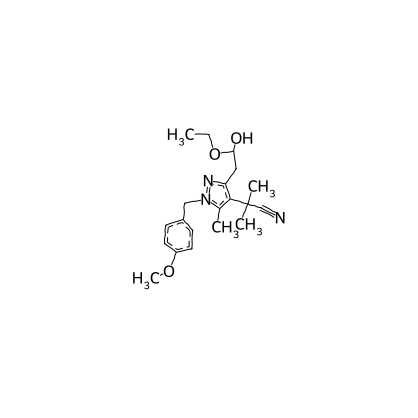 CCOC(O)Cc1nn(Cc2ccc(OC)cc2)c(C)c1C(C)(C)C#N